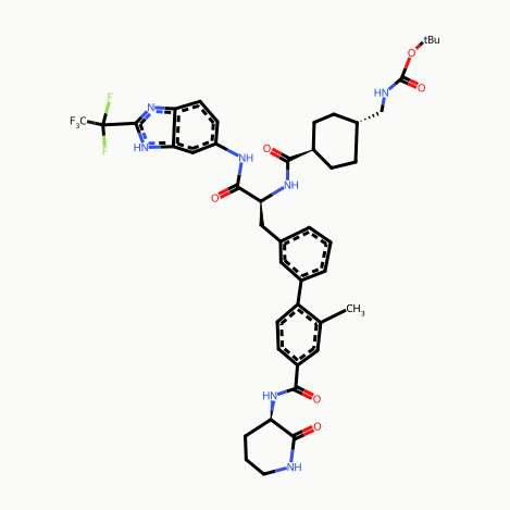 Cc1cc(C(=O)N[C@@H]2CCCNC2=O)ccc1-c1cccc(C[C@H](NC(=O)[C@H]2CC[C@H](CNC(=O)OC(C)(C)C)CC2)C(=O)Nc2ccc3nc(C(F)(F)C(F)(F)F)[nH]c3c2)c1